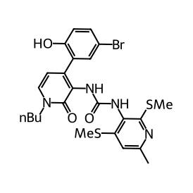 CCCCn1ccc(-c2cc(Br)ccc2O)c(NC(=O)Nc2c(SC)cc(C)nc2SC)c1=O